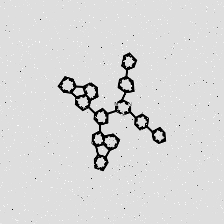 c1ccc(-c2ccc(-c3nc(-c4ccc(-c5ccccc5)cc4)nc(-c4cc(-c5ccc6c7c(cccc57)-c5ccccc5-6)cc(-c5ccc6c7c(cccc57)-c5ccccc5-6)c4)n3)cc2)cc1